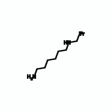 CC(C)CNCCCCCCN